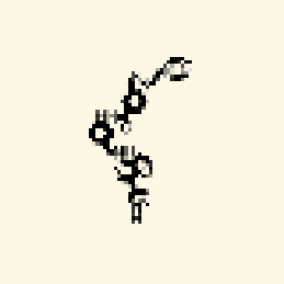 O=C(Nc1cccc(CNc2ncc(-c3cn[nH]c3)c3c2CCO3)c1)c1ccc2c(cnn2CCN2CCOCC2)c1